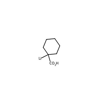 [Li][C]1(C(=O)O)CCCCC1